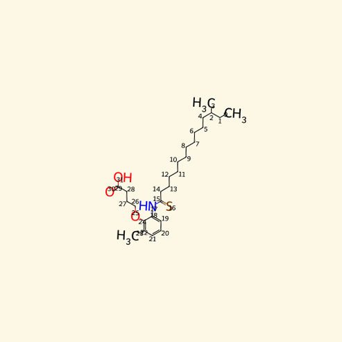 CCC(C)CCCCCCCCCCCC(=S)Nc1cccc(C)c1OCCCC(=O)O